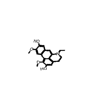 CCN1CCc2cc(O)c(OC)c3c2C1Cc1cc(O)c(OC)cc1-3